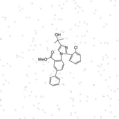 COC(=O)c1cc(-c2ccccc2)ccc1-n1cc(C(C)(C)O)nc1-c1ccccc1Cl